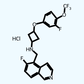 Cl.Fc1cc(OC2CC(NCc3c(F)ccc4cnccc34)C2)ccc1OC(F)(F)F